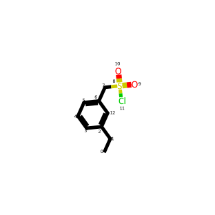 CCc1cccc(CS(=O)(=O)Cl)c1